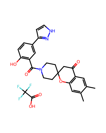 Cc1cc2c(cc1C)C(=O)CC1(CCN(C(=O)c3cc(-c4cc[nH]n4)ccc3O)CC1)O2.O=C(O)C(F)(F)F